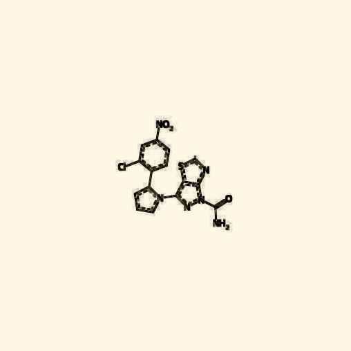 NC(=O)n1nc(-n2cccc2-c2ccc([N+](=O)[O-])cc2Cl)c2s[c]nc21